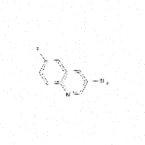 Bc1cnc2ccc(F)cc2c1